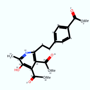 COC(=O)c1ccc(CCc2nc(C)c(O)c(C(=O)OC)c2C(=O)OC)cc1